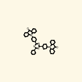 O=c1c2ccccc2n(-c2ccc(-c3nc(-c4ccccc4)nc(-c4ccc(-n5c6ccccc6c(=O)c6ccccc65)cc4)n3)cc2)c2ccccc12